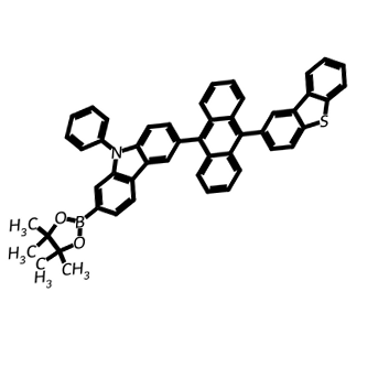 CC1(C)OB(c2ccc3c4cc(-c5c6ccccc6c(-c6ccc7sc8ccccc8c7c6)c6ccccc56)ccc4n(-c4ccccc4)c3c2)OC1(C)C